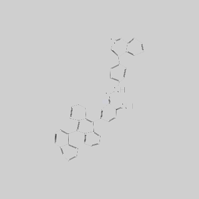 N=C1C=CC(c2c3c(c(-c4cccc5ccccc45)c4ccccc24)C=CCC3)=C/C1=N/Nc1ccc(-c2cncc3ccccc23)cc1